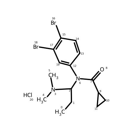 CCC(N(C)C)N(C(=O)C1CC1)c1ccc(Br)c(Br)c1.Cl